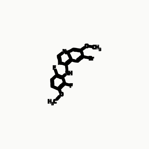 COc1cc2ncnc(Nc3c(F)ccc(OC)c3F)c2cc1Br